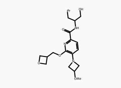 COC1CN(c2ccc(C(=O)NC(CO)CC(C)C)nc2OCC2COC2)C1